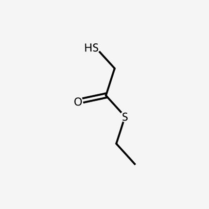 CCSC(=O)CS